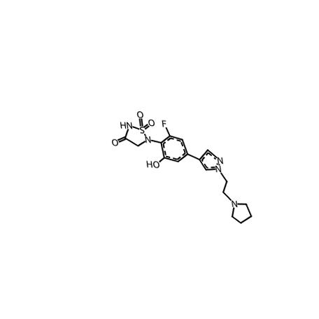 O=C1CN(c2c(O)cc(-c3cnn(CCN4CCCC4)c3)cc2F)S(=O)(=O)N1